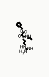 C=CCN[C@@H](CCCCNC(=N)N)C(=O)C(=O)OCc1ccccc1